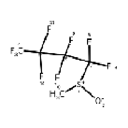 C[S+]([O-])C(F)(F)C(F)(F)C(F)(F)C(F)(F)F